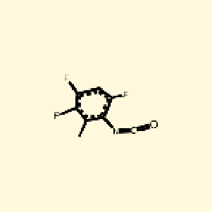 Cc1c(F)c(F)cc(F)c1N=C=O